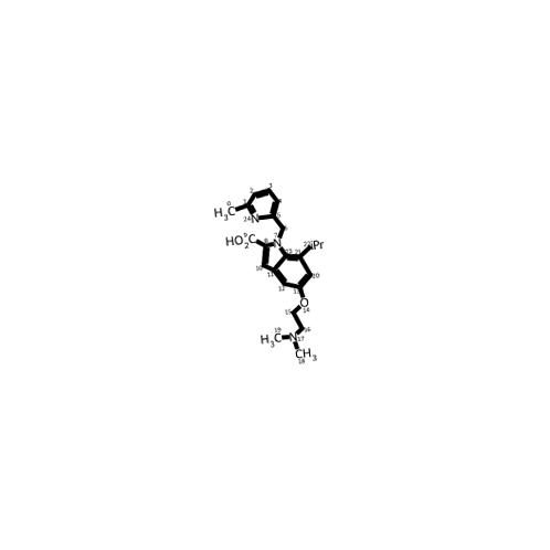 Cc1cccc(Cn2c(C(=O)O)cc3cc(OCCN(C)C)cc(C(C)C)c32)n1